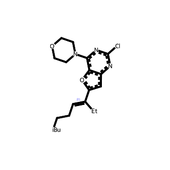 CC/C(=C\CCC(C)CC)c1cc2nc(Cl)nc(N3CCOCC3)c2o1